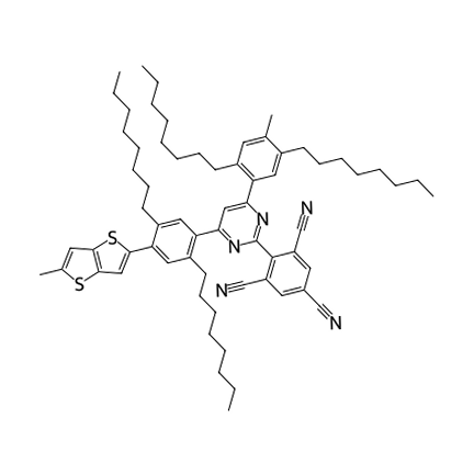 CCCCCCCCc1cc(-c2cc(-c3cc(CCCCCCCC)c(-c4cc5sc(C)cc5s4)cc3CCCCCCCC)nc(-c3c(C#N)cc(C#N)cc3C#N)n2)c(CCCCCCCC)cc1C